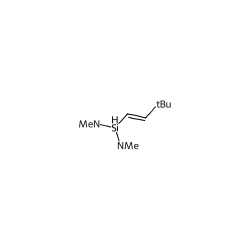 CN[SiH](C=CC(C)(C)C)NC